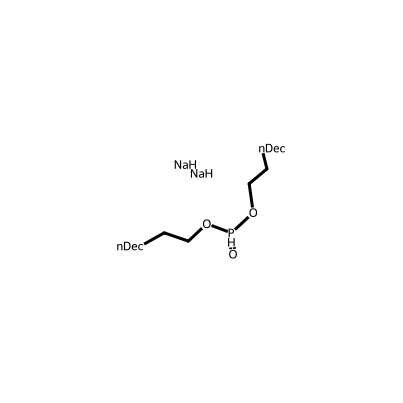 CCCCCCCCCCCCO[PH](=O)OCCCCCCCCCCCC.[NaH].[NaH]